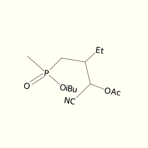 CCC(CP(C)(=O)OCC(C)C)C(C#N)OC(C)=O